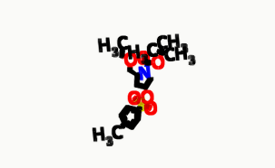 CCOC[C@@H]1C[C@@H](OS(=O)(=O)c2ccc(C)cc2)CN1C(=O)OC(C)(C)C